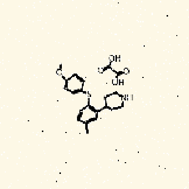 COc1ccc(Sc2ccc(C)cc2C2CCNCC2)cc1.O=C(O)C(=O)O